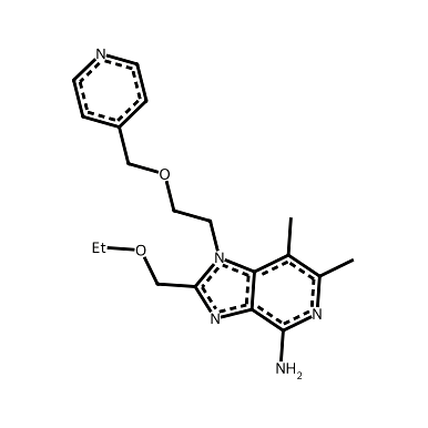 CCOCc1nc2c(N)nc(C)c(C)c2n1CCOCc1ccncc1